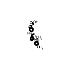 Cc1ccc2c(c1)nc(C)n2-c1cccc2c1OCC2Nc1ccc2c(c1)OC[C@H]2CC(=O)O